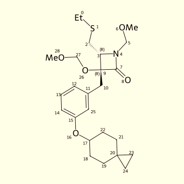 CCSC[C@@H]1N(COC)C(=O)[C@]1(Cc1cccc(OC2CCC3(CC2)CC3)c1)OCOC